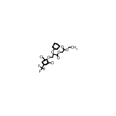 CCOC(=O)COC(=O)C(COc1c(Cl)cc(C(F)(F)F)cc1Cl)Oc1ccccc1